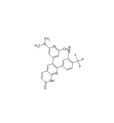 Cc1cc(-c2cc3ccc(=O)[nH]c3nc2-c2ccc(C(F)(F)F)c(C#N)c2)cc(N(C)C)n1